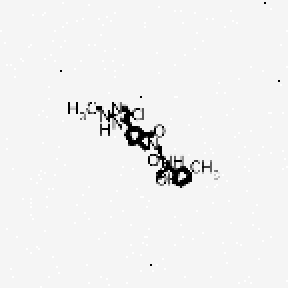 CCNc1ncc(Cl)c(-c2ccc3c(c2)C(=O)N(CC(=O)NC(CO)c2cccc(C)c2)C3)n1